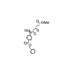 COC(=O)CCC(=O)CC(=O)N(O)c1ccc(C(=O)OCc2ccccc2)cc1